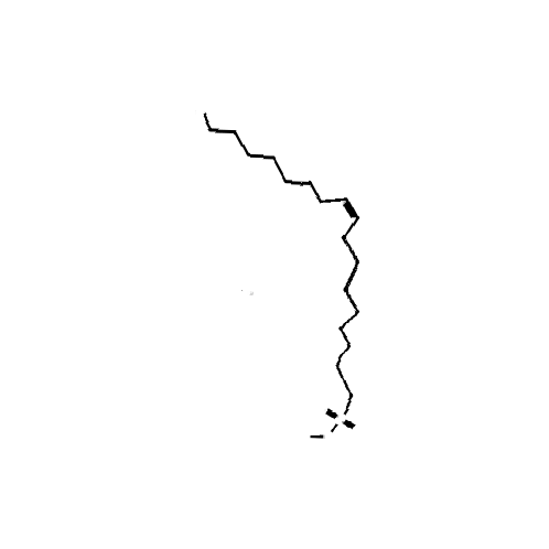 CCCCCCCC/C=C\CCCCCCCCS(=O)(=O)OC.[NaH]